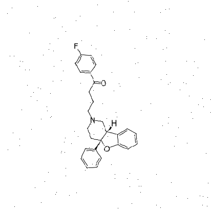 O=C(CCCN1CC[C@@]2(c3ccccc3)Oc3ccccc3[C@H]2C1)c1ccc(F)cc1